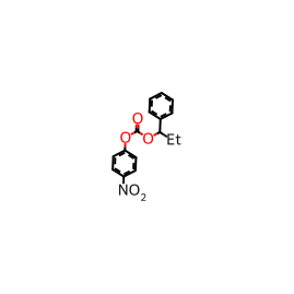 CCC(OC(=O)Oc1ccc([N+](=O)[O-])cc1)c1ccccc1